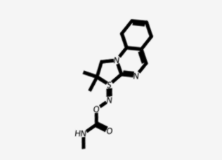 CNC(=O)ON=S1C2=NC=C3CC=CCC3N2CC1(C)C